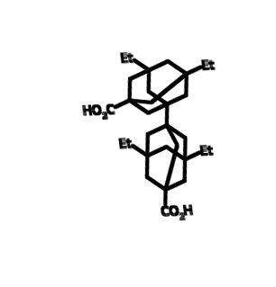 CCC12CC3(CC)CC(C(=O)O)(C1)CC(C14CC5(CC)CC(CC)(CC(C(=O)O)(C5)C1)C4)(C2)C3